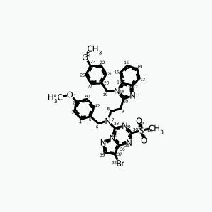 COc1ccc(CN(CCc2nc3ccccc3n2Cc2ccc(OC)cc2)c2nc(S(C)(=O)=O)nc3c(Br)cnn23)cc1